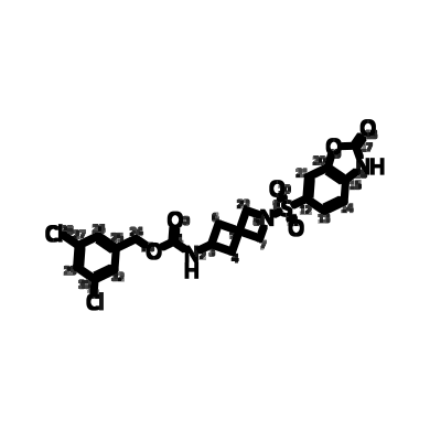 O=C(NC1CC2(C1)CN(S(=O)(=O)c1ccc3[nH]c(=O)oc3c1)C2)OCc1cc(Cl)cc(Cl)c1